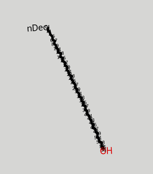 CCCCCCCCCCCCCCCCCCCCCCCCCCCCCCCCCCCCCCCCCCCCCCCCCCCCCCCCCCCCCCCCCO